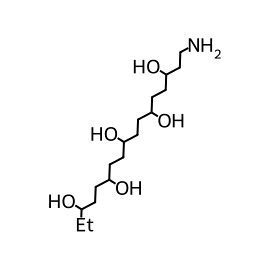 [CH2]CC(O)CCC(O)CCC(O)CCC(O)CCC(O)CCN